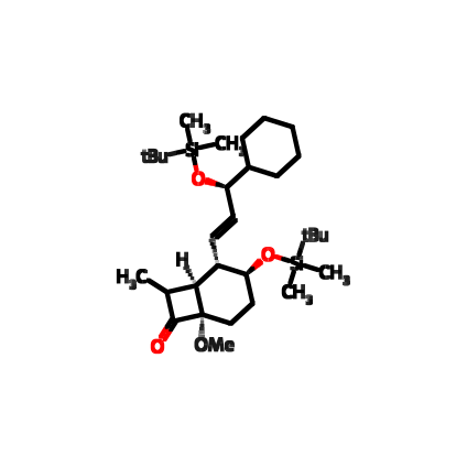 CO[C@@]12CC[C@H](O[Si](C)(C)C(C)(C)C)[C@@H](/C=C/[C@@H](O[Si](C)(C)C(C)(C)C)C3CCCCC3)[C@@H]1C(C)C2=O